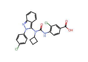 O=C(O)c1ccc(NC(=O)N(c2c3ccccc3nn2-c2ccc(Cl)cc2)C2CCC2)c(Cl)c1